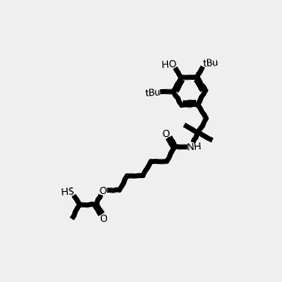 CC(S)C(=O)OCCCCCC(=O)NC(C)(C)Cc1cc(C(C)(C)C)c(O)c(C(C)(C)C)c1